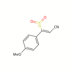 COc1ccc(C(=CC#N)[SH](=O)=O)cc1